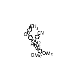 COc1cc2nc(NC(=O)C(Oc3ccc(C(=O)N4CCN(C)CC4)cc3)c3ccc(C#N)cc3)sc2cc1OC